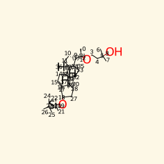 C[C@@H](OCCC(C)(C)O)[C@H]1CC[C@H]2[C@@H]3CC=C4CC(O[Si](C)(C)C(C)(C)C)CC[C@]4(C)[C@H]3CC[C@]12C